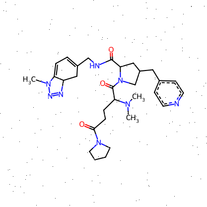 CN1N=NC2CC(CNC(=O)C3CC(Cc4ccncc4)CN3C(=O)C(CCC(=O)N3CCCC3)N(C)C)=CC=C21